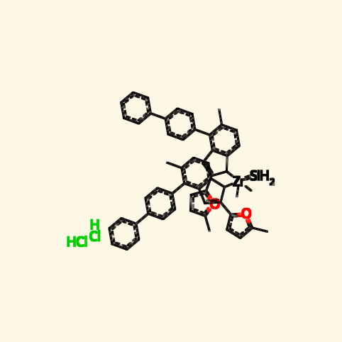 Cc1ccc(C2=Cc3c(ccc(C)c3-c3ccc(-c4ccccc4)cc3)[CH]2[Zr]([CH3])([CH3])(=[SiH2])[CH]2C(c3ccc(C)o3)=Cc3c2ccc(C)c3-c2ccc(-c3ccccc3)cc2)o1.Cl.Cl